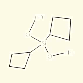 CCCO[Si](OCCC)(C1CCC1)C1CCC1